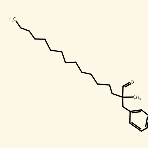 CCCCCCCCCCCCCCC(C)(C=O)Cc1ccccc1